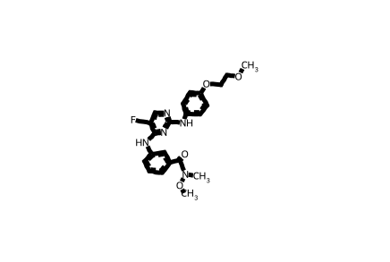 COCCOc1ccc(Nc2ncc(F)c(Nc3cccc(C(=O)N(C)OC)c3)n2)cc1